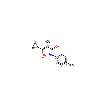 N#CC(C(=O)Nc1ccc(C#N)cc1)=C(O)C1CC1